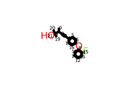 CC(C#Cc1ccc(Oc2ccccc2F)cc1)C(C)(C)O